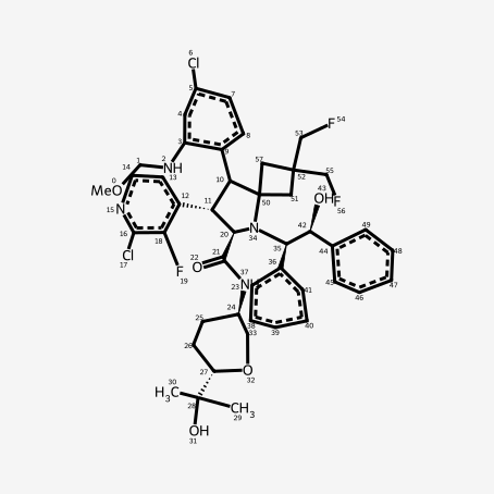 COCNc1cc(Cl)ccc1C1[C@@H](c2ccnc(Cl)c2F)[C@H](C(=O)N[C@@H]2CC[C@@H](C(C)(C)O)OC2)N([C@H](c2ccccc2)[C@@H](O)c2ccccc2)C12CC(CF)(CF)C2